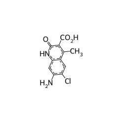 Cc1c(C(=O)O)c(=O)[nH]c2cc(N)c(Cl)cc12